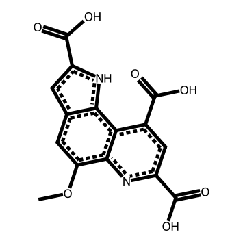 COc1cc2cc(C(=O)O)[nH]c2c2c(C(=O)O)cc(C(=O)O)nc12